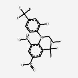 CCCN(c1ccc(C(F)(F)F)cc1Cl)c1c([N+](=O)[O-])cc([N+](=O)[O-])cc1C(F)(F)F